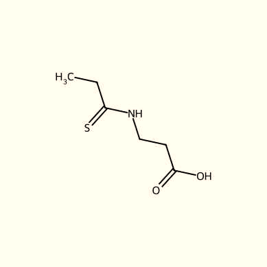 CCC(=S)NCCC(=O)O